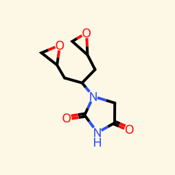 O=C1CN(C(CC2CO2)CC2CO2)C(=O)N1